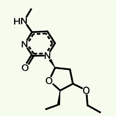 CCOC1C[C@H](n2ccc(NC)nc2=O)O[C@@H]1CC